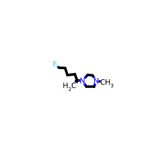 C=C(CCCCF)N1CCN(C)CC1